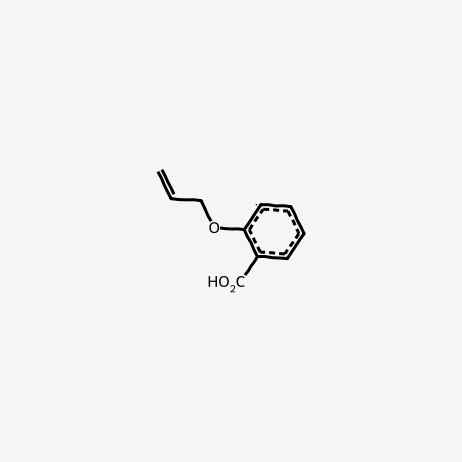 C=CCOc1[c]cccc1C(=O)O